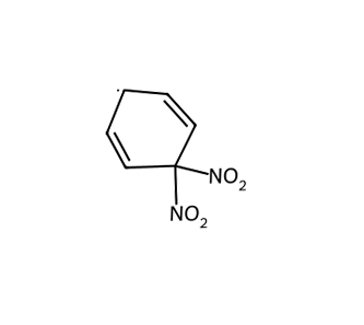 O=[N+]([O-])C1([N+](=O)[O-])C=C[CH]C=C1